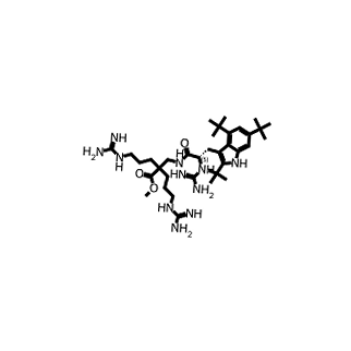 COC(=O)C(CCCNC(=N)N)(CCCNC(=N)N)CNC(=O)[C@H](Cc1c(C(C)(C)C)[nH]c2cc(C(C)(C)C)cc(C(C)(C)C)c12)NC(=N)N